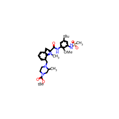 COc1c(NC(=O)c2cc3cccc(CN4CCN(C(=O)OC(C)(C)C)CC4C)c3n2C)cc(C(C)(C)C)cc1NS(C)(=O)=O